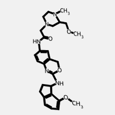 COCC1CN(CC(=O)Nc2ccc3c(c2)COC(NC2CCc4cccc(OC)c42)=N3)CCN1C